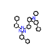 C1=CC(c2ccccc2)CC(c2nc(-c3cccc(-c4ccccc4)c3)nc(-c3cccc(-c4cccc5c4c4cc(-c6ccccc6)ccc4n5-c4ccccc4)c3)n2)=C1